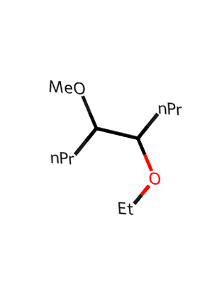 [CH2]CCC(OCC)C(CCC)OC